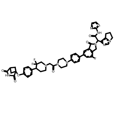 O=C1NC(=O)C2(Oc3ccc(C4CCN(CC(=O)N5CCN(c6ccc(-c7cc(F)c8c(c7)C(=O)N(C(C(=O)Nc7nccs7)c7ncn9c7CCC9)C8)cc6)CC5)CC4(F)F)cc3)CC1C2